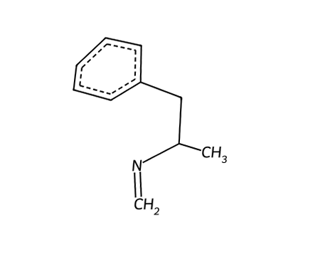 C=NC(C)Cc1ccccc1